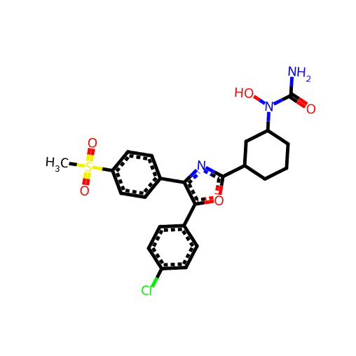 CS(=O)(=O)c1ccc(-c2nc(C3CCCC(N(O)C(N)=O)C3)oc2-c2ccc(Cl)cc2)cc1